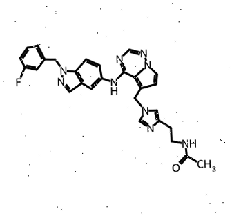 CC(=O)NCCc1cn(Cc2ccn3ncnc(Nc4ccc5c(cnn5Cc5cccc(F)c5)c4)c23)cn1